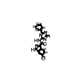 Cc1nc(NC(=O)c2n[nH]c3cc(Cl)ccc23)nc(-c2ccccn2)n1